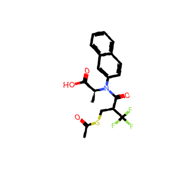 CC(=O)SCC(C(=O)N(c1ccc2ccccc2c1)[C@@H](C)C(=O)O)C(F)(F)F